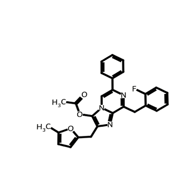 CC(=O)Oc1c(Cc2ccc(C)o2)nc2c(Cc3ccccc3F)nc(-c3ccccc3)cn12